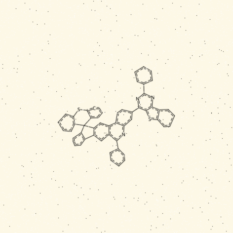 c1ccc(-c2nc(-c3ccc4c(c3)nc(-c3ccccc3)c3cc5c(cc34)C3(c4ccccc4Sc4ccccc43)c3ccccc3-5)c3sc4ccccc4c3n2)cc1